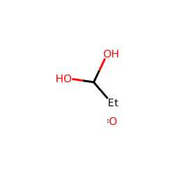 CCC(O)O.[O]